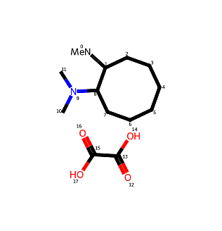 CNC1CCCCCCC1N(C)C.O=C(O)C(=O)O